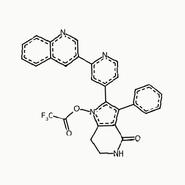 O=C1NCCc2c1c(-c1ccccc1)c(-c1ccnc(-c3cnc4ccccc4c3)c1)n2OC(=O)C(F)(F)F